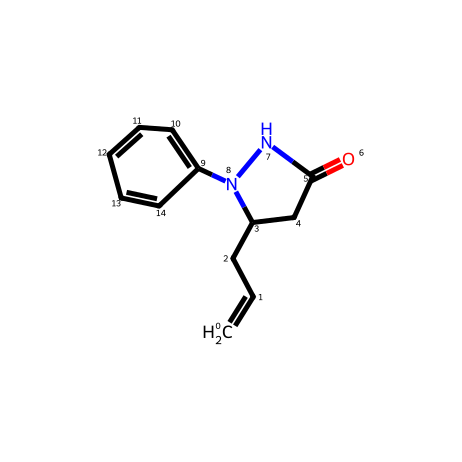 C=CCC1CC(=O)NN1c1ccccc1